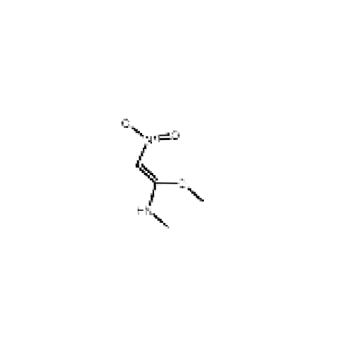 CN/C(=C/[N+](=O)[O-])OC